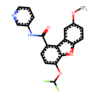 O=C(Nc1cccnc1)c1ccc(OC(F)F)c2oc3ccc(OC(F)(F)F)cc3c12